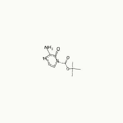 CC(C)(C)OC(=O)n1ccnc(N)c1=O